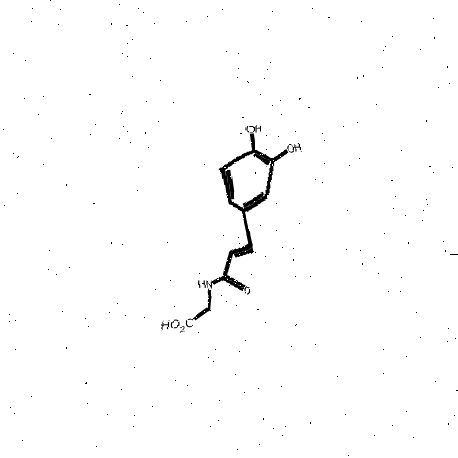 O=C(O)CNC(=O)/C=C/c1ccc(O)c(O)c1